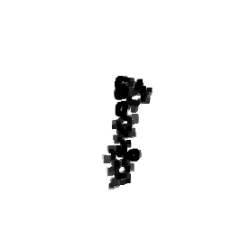 COc1ccccc1OC1CCN(CCN2CCc3ccccc3C2=O)C1